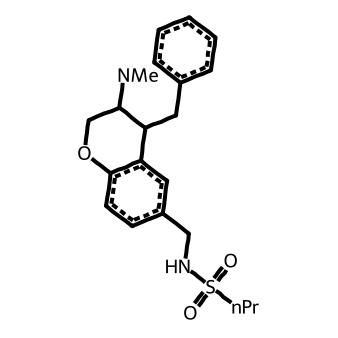 CCCS(=O)(=O)NCc1ccc2c(c1)C(Cc1ccccc1)C(NC)CO2